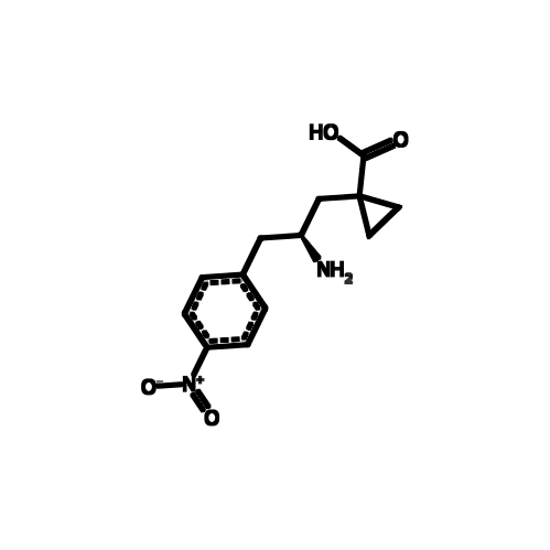 N[C@@H](Cc1ccc([N+](=O)[O-])cc1)CC1(C(=O)O)CC1